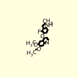 CCOc1cc2nccc(Oc3ccc4[nH]c(C)cc4c3F)c2cc1OC